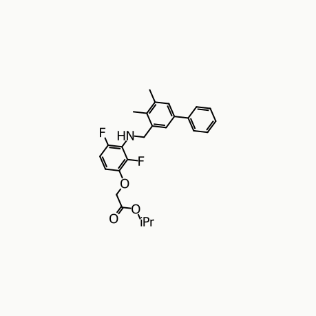 Cc1cc(-c2ccccc2)cc(CNc2c(F)ccc(OCC(=O)OC(C)C)c2F)c1C